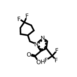 O=C(O)c1c(C(F)(F)F)cnn1CC1CCC(F)(F)CC1